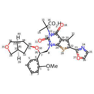 COc1ccccc1[C@H](Cn1c(=O)n(C(C)(C)C(=O)O)c(=O)c2c(C)c(-c3ncco3)sc21)O[C@H]1C[C@H]2COC[C@H]2C1